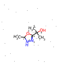 CC1NN=C(C(C)(C)O)O1